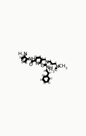 CN(C)CCCN(Cc1ccc(C(=O)Nc2cscc2N)nc1)C(=O)NCCc1ccccc1